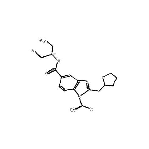 CCC(CC)n1c(CC2CCCO2)nc2cc(C(=O)N[C@H](CC(=O)O)CC(C)C)ccc21